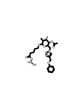 CC(=O)O[C@H]1C(Cn2cc(COc3ccccc3)nn2)OC(OCCCCC(=O)ONS)C(C)[C@H]1C